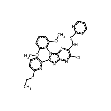 CCOc1cccc(-c2nc3nc(Cl)c(NSc4ccccn4)nc3n2-c2c(OC)cccc2OC)n1